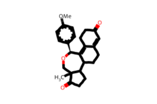 COc1ccc([C@@H]2OCC3(C)C(=O)CCC3C3CCC4=CC(=O)CCC4=C32)cc1